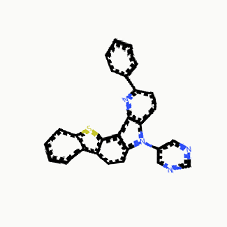 c1ccc(-c2ccc3c(n2)c2c4sc5ccccc5c4ccc2n3-c2cncnc2)cc1